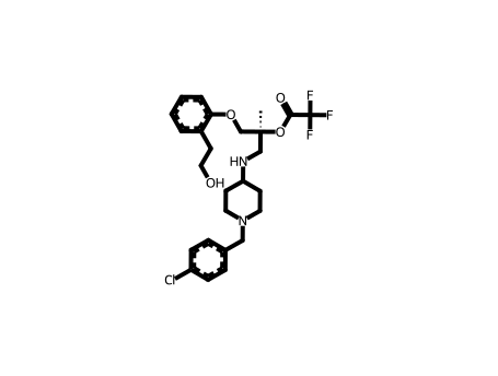 C[C@](CNC1CCN(Cc2ccc(Cl)cc2)CC1)(COc1ccccc1CCO)OC(=O)C(F)(F)F